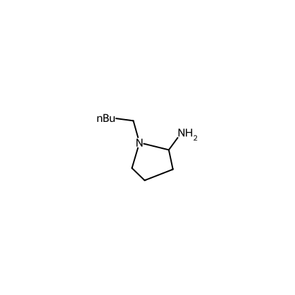 CCCCCN1CCCC1N